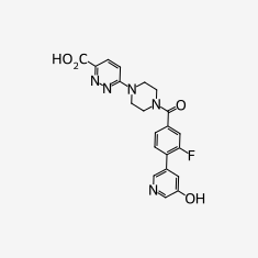 O=C(O)c1ccc(N2CCN(C(=O)c3ccc(-c4cncc(O)c4)c(F)c3)CC2)nn1